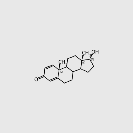 C[C@]12C=CC(=O)C=C1CCC1C2CC[C@@]2(C)C1CC[C@@H]2O